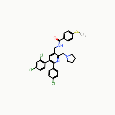 O=C(NCc1cc(-c2ccc(Cl)cc2Cl)c(-c2ccc(Cl)cc2)nc1CN1CCCC1)c1ccc(SC(F)(F)F)cc1